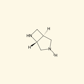 [2H]N1C[C@@H]2CN[C@H]2C1